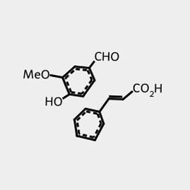 COc1cc(C=O)ccc1O.O=C(O)C=Cc1ccccc1